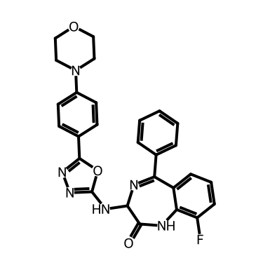 O=C1Nc2c(F)cccc2C(c2ccccc2)=NC1Nc1nnc(-c2ccc(N3CCOCC3)cc2)o1